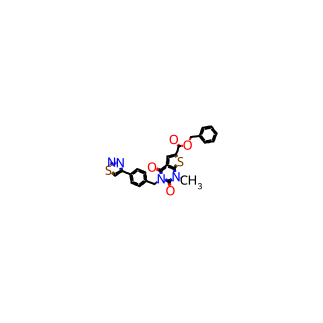 Cn1c(=O)n(Cc2ccc(-c3csnn3)cc2)c(=O)c2cc(C(=O)OCc3ccccc3)sc21